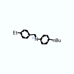 CCCCc1ccc(/N=C/c2ccc(CC)cc2)cc1